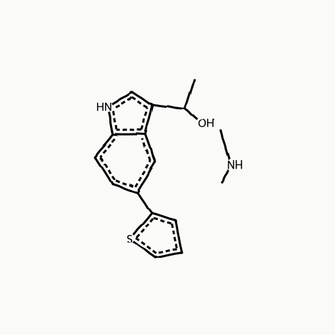 CC(O)c1c[nH]c2ccc(-c3cccs3)cc12.CNC